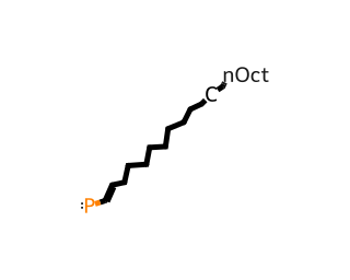 CCCCCCCCCCCCCCCCCCCC=C[P]